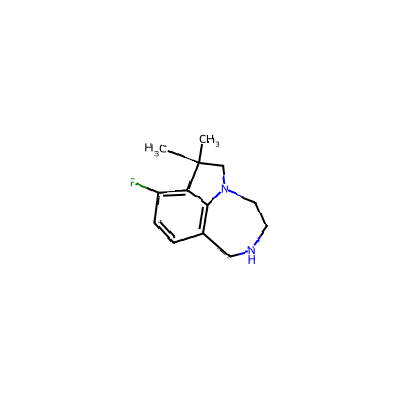 CC1(C)CN2CCNCc3ccc(F)c1c32